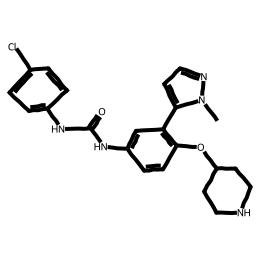 Cn1nccc1-c1cc(NC(=O)Nc2ccc(Cl)cc2)ccc1OC1CCNCC1